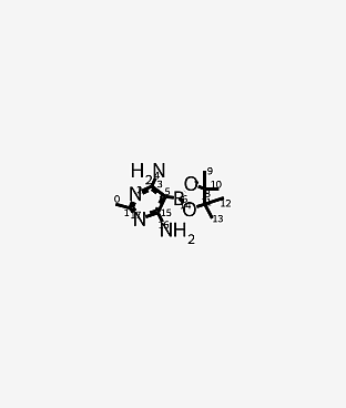 Cc1nc(N)c(B2OC(C)(C)C(C)(C)O2)c(N)n1